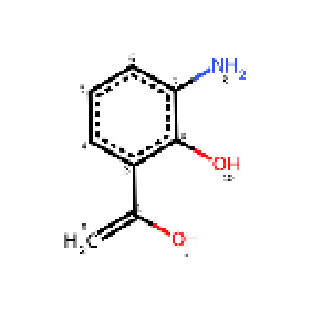 C=C(O)c1cccc(N)c1O